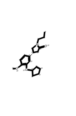 CCCN1C[C@@H](c2ccc(OC)c(OC3CCCC3)c2)CC1=O